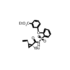 C=C[C@@H]1C[C@@]1(C(=O)NS(=O)(=O)c1ccccc1Oc1cccc(C(=O)OCC)c1)C(C)(C)C